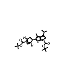 Cc1c([C@@H]2C[C@@H]3C[C@H]2CN3C(=O)OC(C)(C)C)sc2c1c(C(C)C)cn2C(=O)OC(C)(C)C